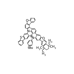 CC(C)(C)c1ccc(N2B3c4cc5c(cc4-n4c6ccc7oc8ccccc8c7c6c6ccc(c3c64)-c3cc4oc6cc7c(cc6c4cc32)C(C)(C)CCC7(C)C)sc2ccccc25)cc1